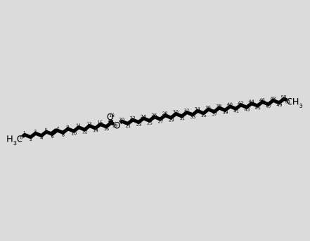 CCCCCCC=CCCCCCCCCCC(=O)OCCCCCCCCCCCCCCCCCCCCCCCCCCCCCCCC